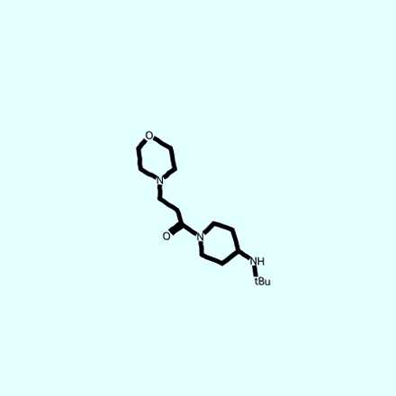 CC(C)(C)NC1CCN(C(=O)CCN2CCOCC2)CC1